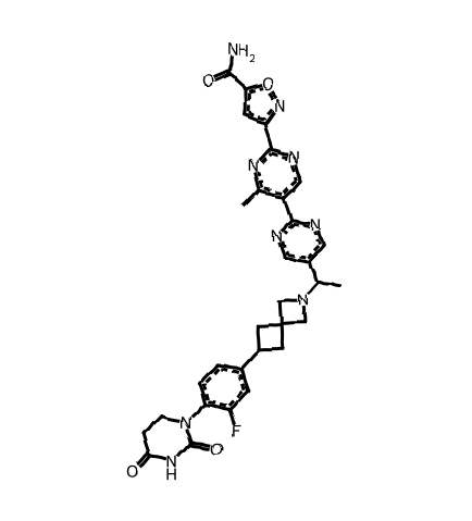 Cc1nc(-c2cc(C(N)=O)on2)ncc1-c1ncc(C(C)N2CC3(CC(c4ccc(N5CCC(=O)NC5=O)c(F)c4)C3)C2)cn1